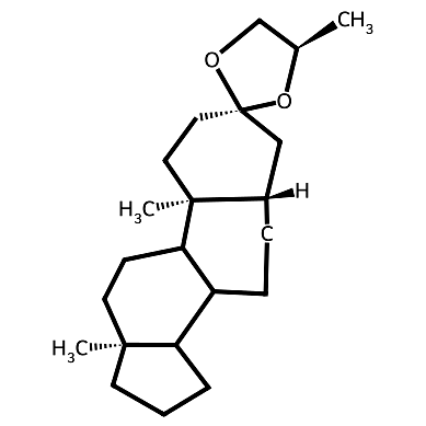 C[C@@H]1CO[C@@]2(CC[C@]3(C)C4CC[C@]5(C)CCCC5C4CC[C@H]3C2)O1